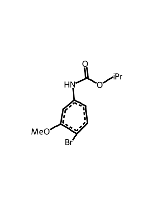 COc1cc(NC(=O)OC(C)C)ccc1Br